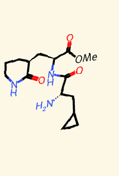 COC(=O)[C@H](C[C@@H]1CCCNC1=O)NC(=O)[C@@H](N)CC1CC1